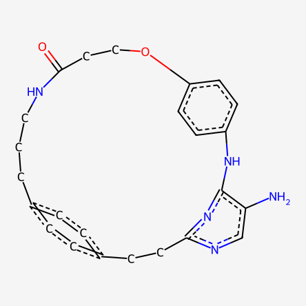 Nc1cnc2nc1Nc1ccc(cc1)OCCC(=O)NCCCc1ccc(cc1)CC2